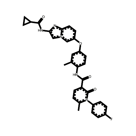 Cc1cc(Oc2ccc3nc(NC(=O)C4CC4)cn3c2)ccc1NC(=O)c1ccc(C)n(-c2ccc(F)cc2)c1=O